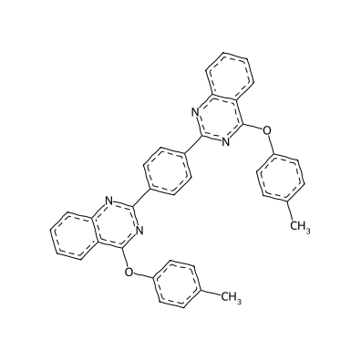 Cc1ccc(Oc2nc(-c3ccc(-c4nc(Oc5ccc(C)cc5)c5ccccc5n4)cc3)nc3ccccc23)cc1